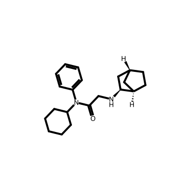 O=C(CN[C@H]1C[C@@H]2CC[C@@H]1C2)N(c1ccccc1)C1CCCCC1